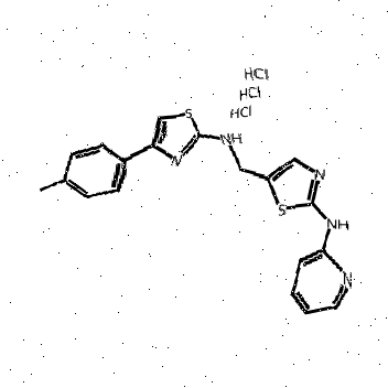 Cc1ccc(-c2csc(NCc3cnc(Nc4ccccn4)s3)n2)cc1.Cl.Cl.Cl